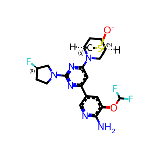 Nc1ncc(-c2cc(N3C[C@@H]4CC[C@H]3C[S+]4[O-])nc(N3CC[C@@H](F)C3)n2)cc1OC(F)F